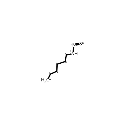 CCCCCCNN=S